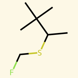 CC(SCF)C(C)(C)C